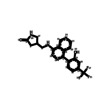 O=C1CC(CNc2nnc(-c3ccc(C(F)(F)F)cc3O)c3ccncc23)CN1